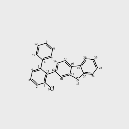 Clc1cccc(-c2ccccc2)c1-c1ccc2c(c1)sc1ccccc12